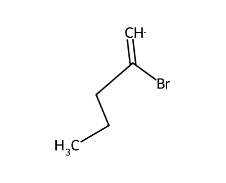 [CH]=C(Br)CCC